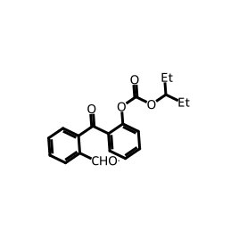 CCC(CC)OC(=O)Oc1ccccc1C(=O)c1ccccc1[C]=O